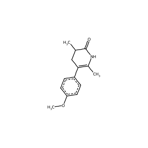 COc1ccc(C2=C(C)NC(=O)C(C)C2)cc1